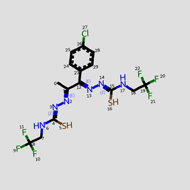 CC(=N\N=C(/S)NCC(F)(F)F)/C(=N/N=C(\S)NCC(F)(F)F)c1ccc(Cl)cc1